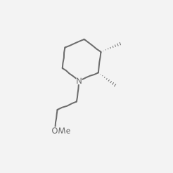 COCCN1CCC[C@H](C)[C@@H]1C